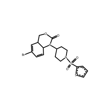 O=C1OCC2C=C(Br)C=CC2N1C1CCN(S(=O)(=O)c2cccs2)CC1